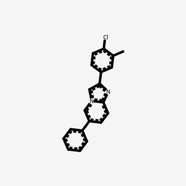 Cc1cc(-c2cn3cc(-c4c[c]ccc4)ccc3n2)ccc1Cl